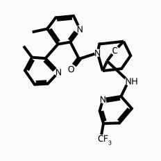 Cc1cccnc1-c1c(C)ccnc1C(=O)N1CC2CCC1C(Nc1ccc(C(F)(F)F)cn1)C2